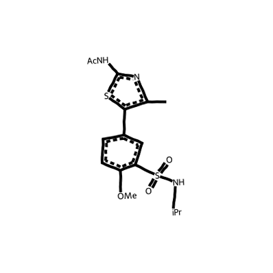 COc1ccc(-c2sc(NC(C)=O)nc2C)cc1S(=O)(=O)NC(C)C